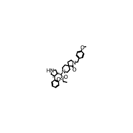 CCS(=O)(=O)C([C@@H]1CNC[C@@H]1c1ccccc1)N1CCC2(CCN(Cc3ccc(OC)cc3)C2=O)CC1